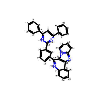 c1ccc(-c2cc(-c3ccccc3)nc(-c3cccc(-c4nc5ccccc5c5nc6ccccn6c45)c3)n2)cc1